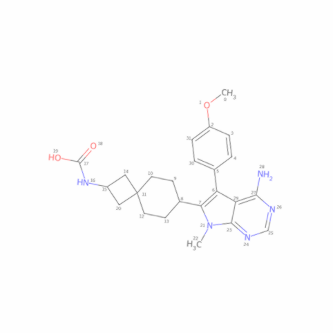 COc1ccc(-c2c(C3CCC4(CC3)CC(NC(=O)O)C4)n(C)c3ncnc(N)c23)cc1